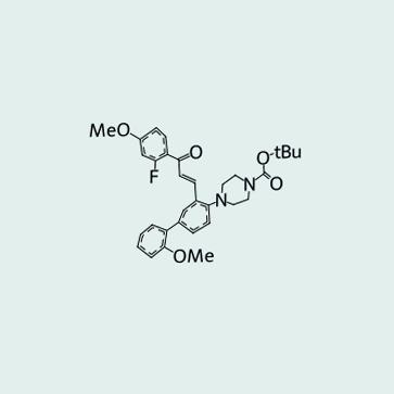 COc1ccc(C(=O)C=Cc2cc(-c3ccccc3OC)ccc2N2CCN(C(=O)OC(C)(C)C)CC2)c(F)c1